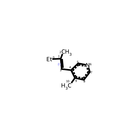 CC/C(C)=C/c1cnccc1C